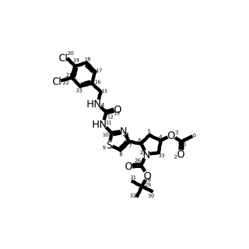 CC(=O)OC1CC(c2csc(NC(=O)NCc3ccc(Cl)c(Cl)c3)n2)N(C(=O)OC(C)(C)C)C1